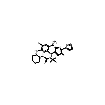 CC(C)(C)OC(=O)N[C@H]1CCCC[C@H]1Nc1nc(Nc2cnc(-n3ccnn3)c(F)c2)c(C(N)=O)cc1F